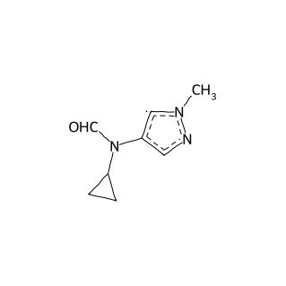 Cn1[c]c(N(C=O)C2CC2)cn1